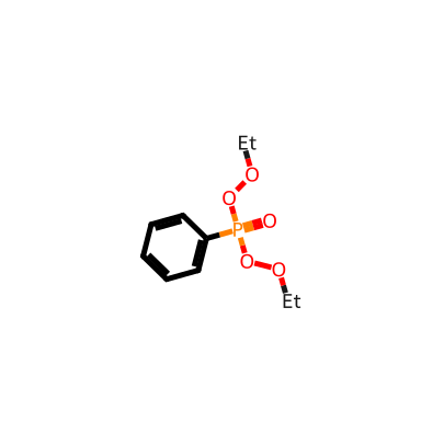 CCOOP(=O)(OOCC)c1ccccc1